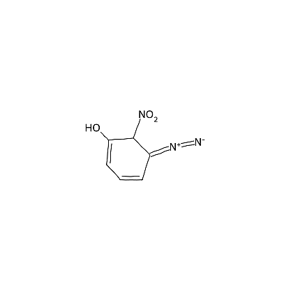 [N-]=[N+]=C1C=CC=C(O)C1[N+](=O)[O-]